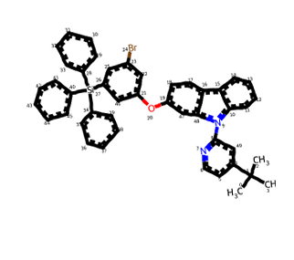 CC(C)(C)c1ccnc(-n2c3ccccc3c3ccc(Oc4cc(Br)cc([Si](c5ccccc5)(c5ccccc5)c5ccccc5)c4)cc32)c1